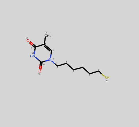 Cc1cn(CCCCCCS)c(=O)[nH]c1=O